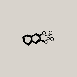 O=S1(=O)Oc2cc3ccccc3cc2O1